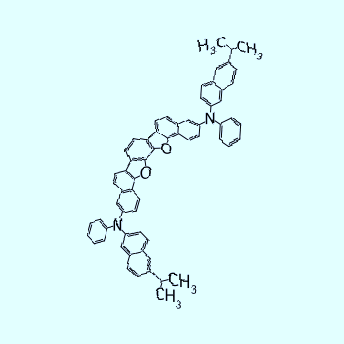 CC(C)c1ccc2cc(N(c3ccccc3)c3ccc4c(ccc5c6ccc7c8ccc9cc(N(c%10ccccc%10)c%10ccc%11cc(C(C)C)ccc%11c%10)ccc9c8oc7c6oc45)c3)ccc2c1